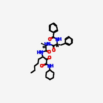 CCCCCC(NC(=O)[C@H](C)NC(=O)[C@@H](Cc1ccccc1)NC(=O)c1ccccc1)C(=O)C(=O)NC1CCCCC1